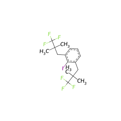 CC(C)(Cc1cccc(CC(C)(C)C(F)(F)F)c1I)C(F)(F)F